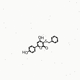 O=c1oc(-c2ccc(O)cc2)cc(O)c1SCc1ccccc1